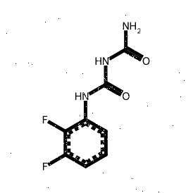 NC(=O)NC(=O)Nc1cccc(F)c1F